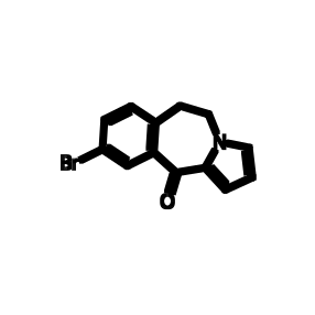 O=C1c2cc(Br)ccc2CCn2cccc21